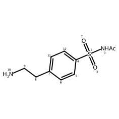 CC(=O)NS(=O)(=O)c1ccc(CCN)cc1